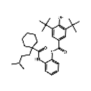 CC(C)CCC1(C(=O)Nc2ccccc2SC(=O)c2cc(C(C)(C)C)c(O)c(C(C)(C)C)c2)CCCCC1